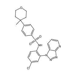 CC1(c2ccc(S(=O)(=O)Nc3ccc(Cl)cc3-n3nnc4ncccc43)cc2)CCOCC1